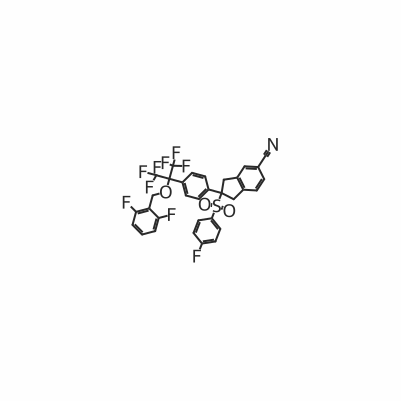 N#Cc1ccc2c(c1)CC(c1ccc(C(OCc3c(F)cccc3F)(C(F)(F)F)C(F)(F)F)cc1)(S(=O)(=O)c1ccc(F)cc1)C2